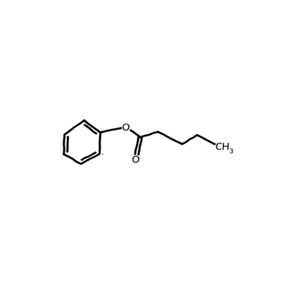 CCCCC(=O)Oc1[c]cccc1